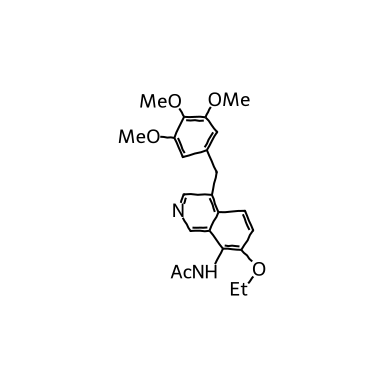 CCOc1ccc2c(Cc3cc(OC)c(OC)c(OC)c3)cncc2c1NC(C)=O